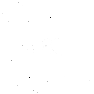 CCCn1nnc(CC(C)(C)C)c1C(Cl)(Cl)C(Cl)(Cl)Cl